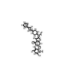 CCN(c1sc2c(c1C)C(=O)N(Cc1c(C)cc(C)[nH]c1=O)CC2)C1CCC(N2CC(n3cccn3)C2)CC1